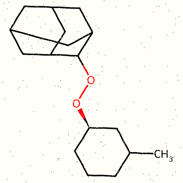 CC1CCC[C@@H](OOC2C3CC4CC(C3)CC2C4)C1